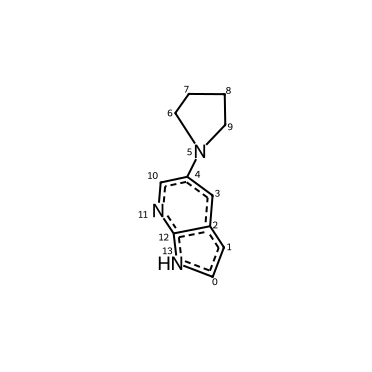 c1cc2cc(N3CCCC3)cnc2[nH]1